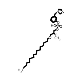 CCCCCCCCCCCCCCCCOCC(COP(=O)(O)Oc1cccc(CN2C=CSC2)c1)OC